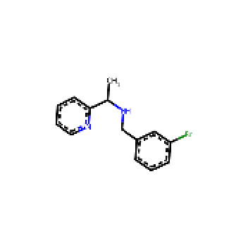 CC(NCc1cccc(Br)c1)c1ccccn1